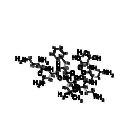 C[C@@H](O)[C@H](NC(=O)[C@H](CCN)NC(=O)[C@H](CCN)NC(=O)[C@H](CC(C)(C)C)NC(=O)[C@@H](Cc1ccccc1)NC(=O)[C@H](CCN)NC(=O)[C@@H](N)CCN)C(=O)O